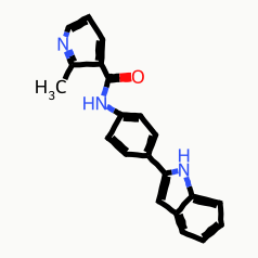 Cc1ncccc1C(=O)Nc1ccc(-c2cc3ccccc3[nH]2)cc1